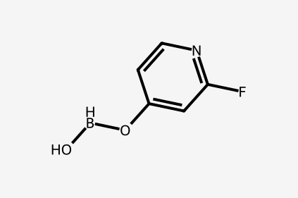 OBOc1ccnc(F)c1